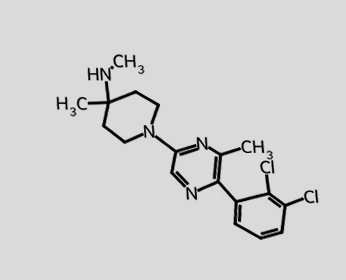 CNC1(C)CCN(c2cnc(-c3cccc(Cl)c3Cl)c(C)n2)CC1